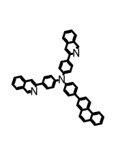 c1ccc2cc(-c3ccc(N(c4ccc(-c5ccc6c(ccc7ccccc76)c5)cc4)c4ccc(-c5cc6ccccc6cn5)cc4)cc3)ncc2c1